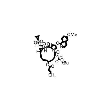 C/C=C/C(=O)OC1/C=C/C=C\[C@@H]2C[C@@]2(C(=O)NS(=O)(=O)C2CC2)NC(=O)[C@@H]2C[C@@H](Oc3nccc4cc(OC)ccc34)CN2C(=O)[C@@H](NC(=O)OC(C)(C)C)CC1